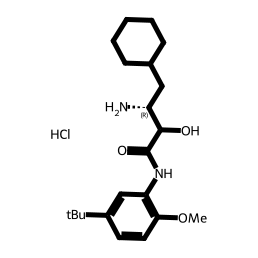 COc1ccc(C(C)(C)C)cc1NC(=O)C(O)[C@H](N)CC1CCCCC1.Cl